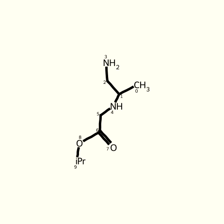 CC(CN)NCC(=O)OC(C)C